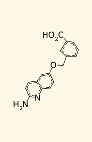 Nc1ccc2cc(OCc3cccc(C(=O)O)c3)ccc2n1